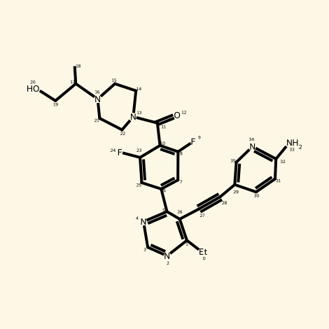 CCc1ncnc(-c2cc(F)c(C(=O)N3CCN(C(C)CO)CC3)c(F)c2)c1C#Cc1ccc(N)nc1